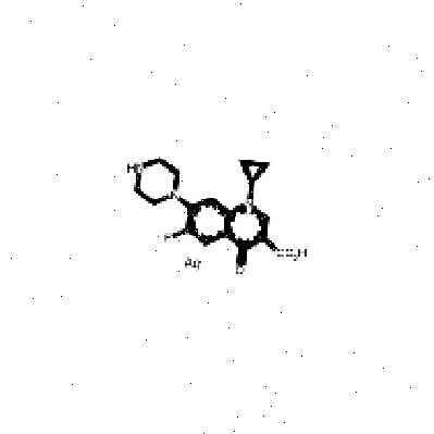 O=C(O)c1cn(C2CC2)c2cc(N3CCNCC3)c(F)cc2c1=O.[Ag]